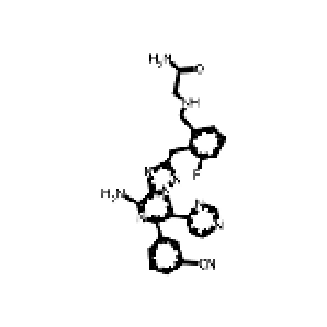 N#Cc1cccc(-c2nc(N)c3nc(Cc4c(F)cccc4CNCC(N)=O)nn3c2-c2ccncn2)c1